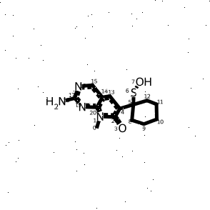 Cn1c(=O)c(C2(SO)CCCCC2)cc2cnc(N)nc21